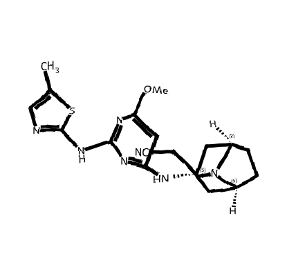 COc1cc(N[C@@H]2C[C@H]3CC[C@@H](C2)N3CCC#N)nc(Nc2ncc(C)s2)n1